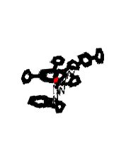 c1ccc(-c2ccc(-c3ccc4c5ccccc5n(-c5ccccc5-c5nc(-c6cc(-c7ccccc7)cc(-c7ccccc7)c6)nc(-n6c7ccccc7c7ccccc76)n5)c4c3)cc2)cc1